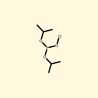 CC(C)OP(OCl)OC(C)C